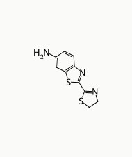 Nc1ccc2nc(C3=NCCS3)sc2c1